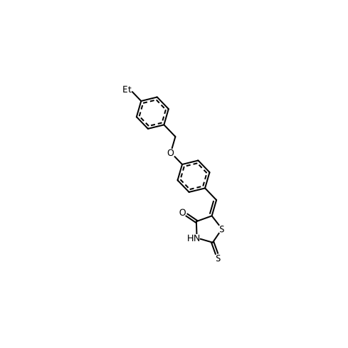 CCc1ccc(COc2ccc(C=C3SC(=S)NC3=O)cc2)cc1